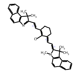 CN1/C(=C\C=C2/CCCC(/C=C/C3=Nc4ccc5ccccc5c4C3(C)C)=C2Cl)C(C)(C)c2c1ccc1ccccc21